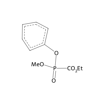 CCOC(=O)P(=O)(OC)Oc1ccccc1